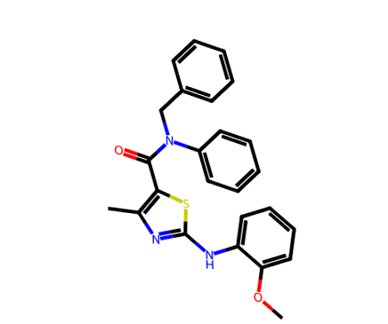 COc1ccccc1Nc1nc(C)c(C(=O)N(Cc2ccccc2)c2ccccc2)s1